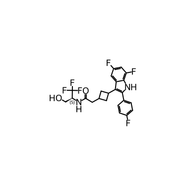 O=C(CC1CC(c2c(-c3ccc(F)cc3)[nH]c3c(F)cc(F)cc23)C1)N[C@@H](CO)C(F)(F)F